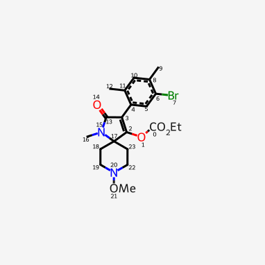 CCOC(=O)OC1=C(c2cc(Br)c(C)cc2C)C(=O)N(C)C12CCN(OC)CC2